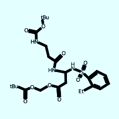 CCc1ccccc1S(=O)(=O)NC(CC(=O)OCOC(=O)C(C)(C)C)NC(=O)CCNC(=O)OC(C)(C)C